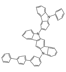 c1ccc(-c2ccc(-c3cccc(-n4c5ccccc5c5cc6c(cc54)c4ccccc4n6-c4ccc5c(c4)c4ccccc4n5-c4ccccc4)c3)cc2)cc1